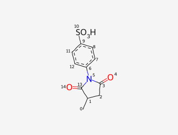 CC1CC(=O)N(c2ccc(S(=O)(=O)O)cc2)C1=O